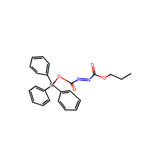 CCCOC(=O)N=NC(=O)O[Si](c1ccccc1)(c1ccccc1)c1ccccc1